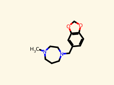 CN1CCCN(Cc2ccc3c(c2)OCO3)CC1